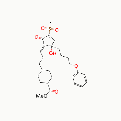 COC(=O)C1CCC(CCC=C2C(=O)C(S(C)(=O)=O)=CC2(O)CCCCOc2ccccc2)CC1